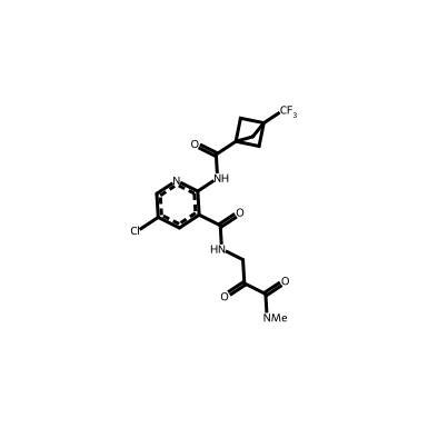 CNC(=O)C(=O)CNC(=O)c1cc(Cl)cnc1NC(=O)C12CC(C(F)(F)F)(C1)C2